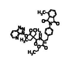 CCOC(=O)[C@H](Cc1ccc(N2C(=O)c3cccc(C)c3C2=O)cc1)NC(=O)C(CC)(CC)C(=O)On1nnc2cccnc21